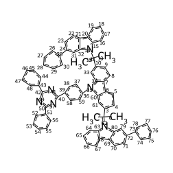 CC(C)(c1ccc2c3ccc(C(C)(C)n4c5ccccc5c5ccc(-c6ccccc6)cc54)cc3n(-c3ccc(-c4nc(-c5ccccc5)nc(-c5ccccc5)n4)cc3)c2c1)n1c2ccccc2c2ccc(-c3ccccc3)cc21